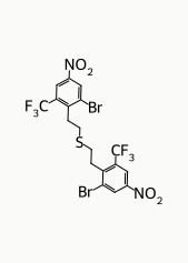 O=[N+]([O-])c1cc(Br)c(CCSCCc2c(Br)cc([N+](=O)[O-])cc2C(F)(F)F)c(C(F)(F)F)c1